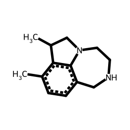 Cc1ccc2c3c1C(C)CN3CCNC2